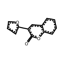 O=c1oc2ccccc2cc1-c1ccco1